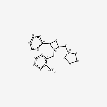 FC(F)(F)c1ccccc1CN1C(CN2CCCC2)CC1c1ccccc1